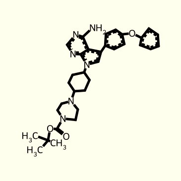 CC(C)(C)OC(=O)N1CCN(C2CCC(n3cc(-c4ccc(Oc5ccccc5)cc4)c4c(N)ncnc43)CC2)CC1